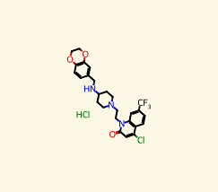 Cl.O=c1cc(Cl)c2ccc(C(F)(F)F)cc2n1CCN1CCC(NCc2ccc3c(c2)OCCO3)CC1